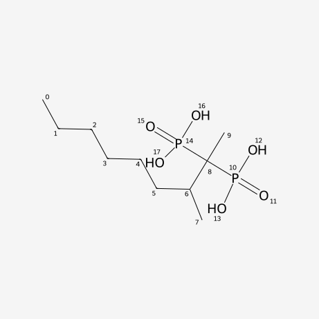 CCCCCCC(C)C(C)(P(=O)(O)O)P(=O)(O)O